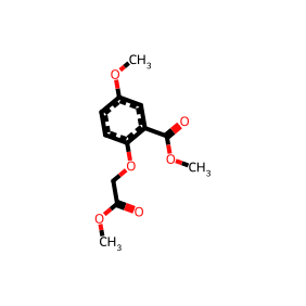 COC(=O)COc1ccc(OC)cc1C(=O)OC